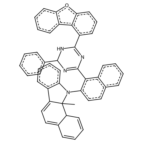 CC12C(=CC=C3C=CC=CC31)c1ccccc1N2c1ccc2ccccc2c1C1=NC(c2ccccc2)NC(c2cccc3oc4ccccc4c23)=N1